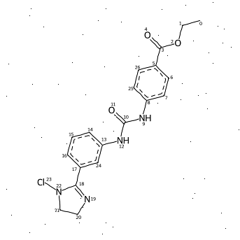 CCOC(=O)c1ccc(NC(=O)Nc2cccc(C3=NCCN3Cl)c2)cc1